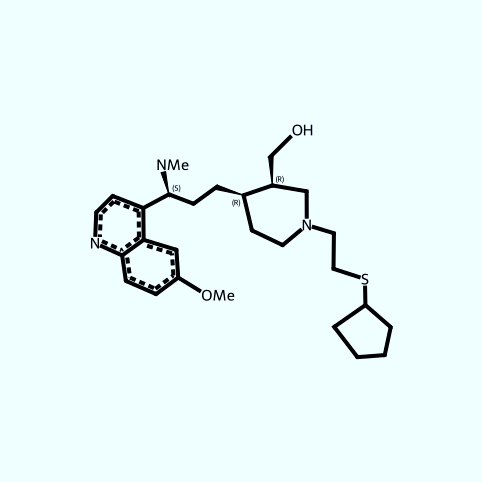 CN[C@@H](CC[C@@H]1CCN(CCSC2CCCC2)C[C@@H]1CO)c1ccnc2ccc(OC)cc12